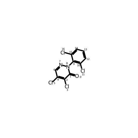 O=c1c(Cl)c(Cl)cnn1-c1c(Cl)cccc1Cl